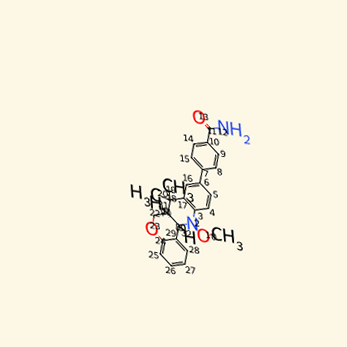 CON1c2ccc(-c3ccc(C(N)=O)cc3)cc2C(C)(C)[C@H]2COc3ccccc3[C@H]21